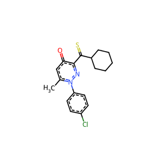 Cc1cc(=O)c(C(=S)C2CCCCC2)nn1-c1ccc(Cl)cc1